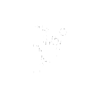 CCOC(=O)N1CCN(C(=O)C(CCCC(=O)O)NC(=O)c2cc(OC3CCCC3)nc(-c3ccccc3)n2)CC1